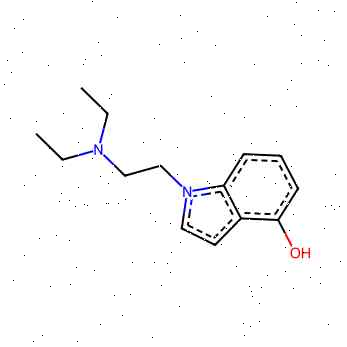 CCN(CC)CCn1ccc2c(O)cccc21